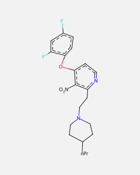 CCCC1CCN(CCc2nccc(Oc3ccc(F)cc3F)c2[N+](=O)[O-])CC1